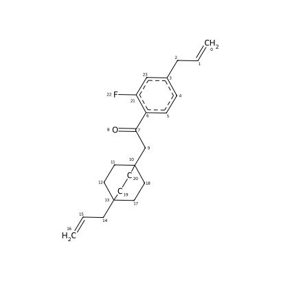 C=CCc1ccc(C(=O)CC23CCC(CC=C)(CC2)CC3)c(F)c1